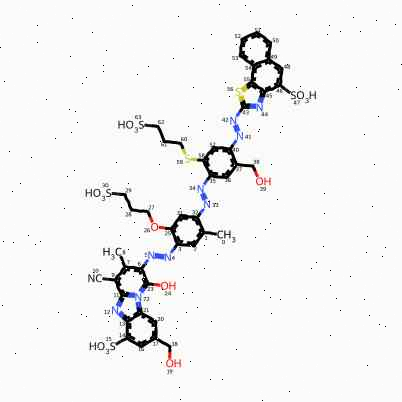 Cc1cc(N=Nc2c(C)c(C#N)c3nc4c(S(=O)(=O)O)cc(CO)cc4n3c2O)c(OCCCS(=O)(=O)O)cc1N=Nc1cc(CO)c(N=Nc2nc3c(S(=O)(=O)O)cc4ccccc4c3s2)cc1SCCCS(=O)(=O)O